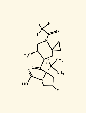 C[C@H]1CN(C(=O)C(F)(F)F)C2(CC2)CN1C(=O)[C@@]1(C(C)(C)C)C[C@@H](F)CN1C(=O)O